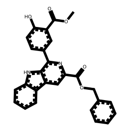 COC(=O)c1cc(-c2nc(C(=O)OCc3ccccc3)cc3c2[nH]c2ccccc23)ccc1O